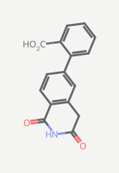 O=C1Cc2cc(-c3ccccc3C(=O)O)ccc2C(=O)N1